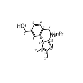 CCCN(Cc1ccc(CO)cc1)c1nc(C)c(C)s1